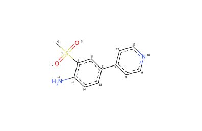 CS(=O)(=O)c1cc(-c2ccncc2)ccc1N